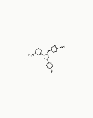 N#Cc1ccc(OC2CC(c3ccc(F)cc3)CC2N2CCCC(N)C2)cn1